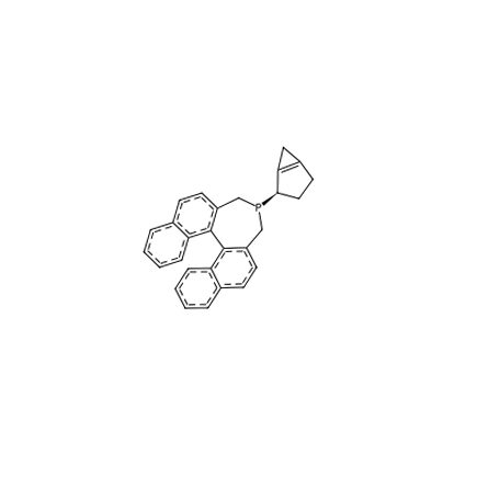 c1ccc2c3c(ccc2c1)CP([C@@H]1CCC2=C1C2)Cc1ccc2ccccc2c1-3